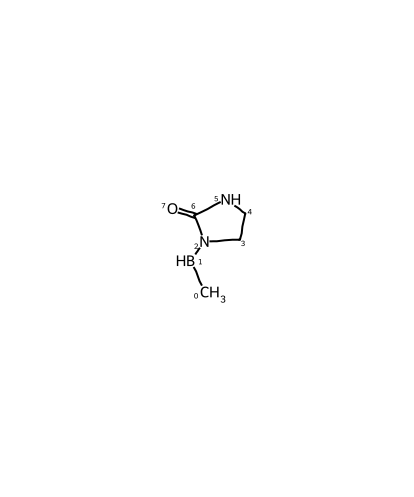 CBN1CCNC1=O